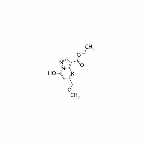 CCOC(=O)c1cnn2c(O)cc(COC)nc12